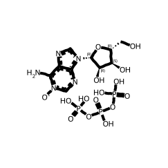 Nc1c2ncn([C@@H]3O[C@H](CO)[C@@H](O)[C@H]3O)c2nc[n+]1[O-].O=P(O)(O)OP(=O)(O)OP(=O)(O)O